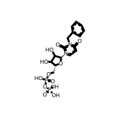 O=c1ccn([C@@H]2O[C@H](COP(=O)(O)OP(=O)(O)O)C(O)C2O)c(=O)n1Cc1ccccc1